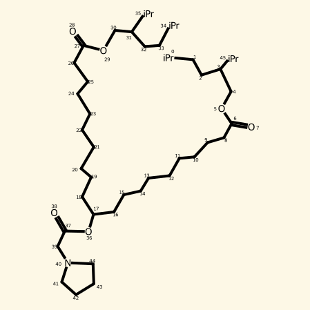 CC(C)CCC(COC(=O)CCCCCCCCCC(CCCCCCCCCC(=O)OCC(CCC(C)C)C(C)C)OC(=O)CN1CCCC1)C(C)C